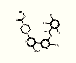 COc1cnc(N2CCN(C(=O)OC(C)(C)C)CC2)cc1-c1cnc(N)c(O[C@H](C)c2c(Cl)ccc(F)c2Cl)c1